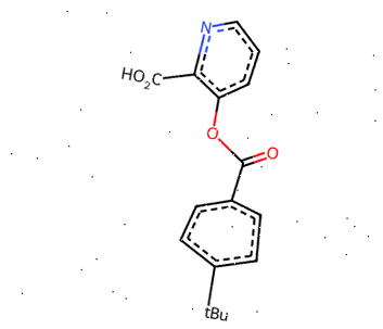 CC(C)(C)c1ccc(C(=O)Oc2cccnc2C(=O)O)cc1